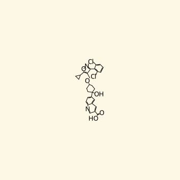 O=C(O)c1cnc2ccc(C3(O)CCC(OCc4c(-c5c(Cl)cccc5Cl)noc4C4CC4)CC3)cc2c1